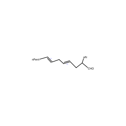 CCCCC/C=C/C/C=C/CC(C=O)CCC